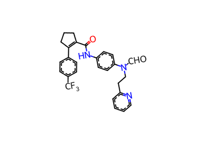 O=CN(CCc1ccccn1)c1ccc(NC(=O)C2=C(c3ccc(C(F)(F)F)cc3)CCC2)cc1